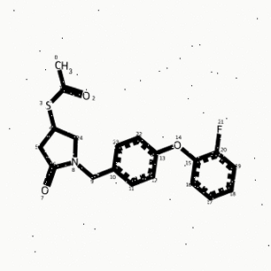 CC(=O)SC1CC(=O)N(Cc2ccc(Oc3ccccc3F)cc2)C1